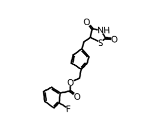 O=C1NC(=O)C(Cc2ccc(COC(=O)c3ccccc3F)cc2)S1